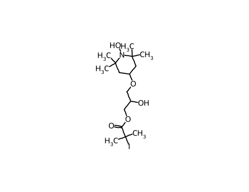 CC(C)(I)C(=O)OCC(O)COC1CC(C)(C)N(O)C(C)(C)C1